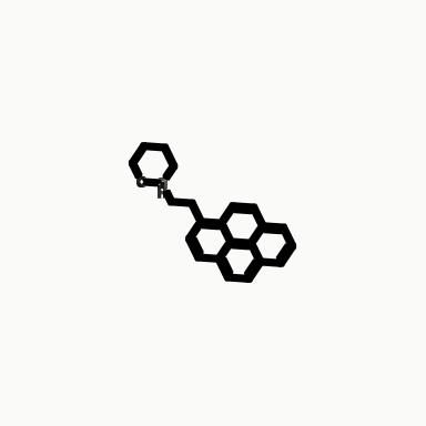 c1cc2ccc3ccc(CC[SiH]4CCCCO4)c4ccc(c1)c2c34